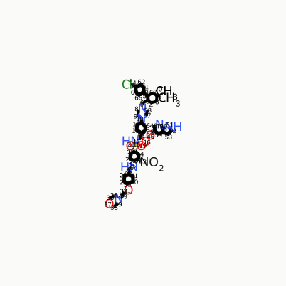 CC1(C)CCC(CN2CCN(c3ccc(C(=O)NS(=O)(=O)c4ccc(NCc5ccc(OCCN6CCOCC6)cc5)c([N+](=O)[O-])c4)c(Oc4cnc5[nH]ccc5c4)c3)CC2)=C(c2ccc(Cl)cc2)C1